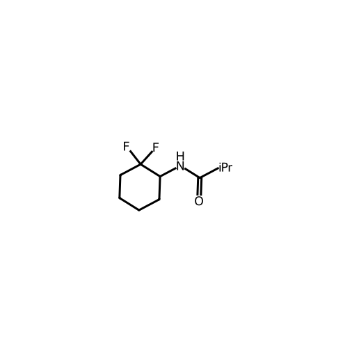 CC(C)C(=O)NC1CCCCC1(F)F